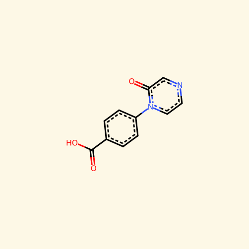 O=C(O)c1ccc(-n2ccncc2=O)cc1